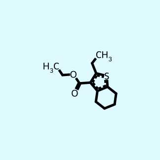 CCOC(=O)c1c(CC)sc2c1CCCC2